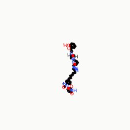 Cn1c(=O)n(C2CCC(=O)NC2=O)c2ccc(CCCCCCc3cn(Cc4cccc(N5C[C@H]6C[C@@H]5CN6/C=C/C(=O)c5ccccc5O)n4)nn3)cc21